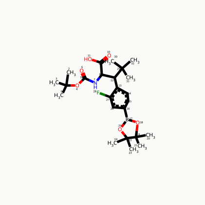 CC(C)(C)OC(=O)NC(C(=O)O)C(c1ccc(B2OC(C)(C)C(C)(C)O2)cc1F)C(C)(C)C